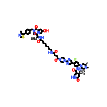 Cc1ncsc1-c1ccc(CNC(=O)[C@@H]2C[C@@H](O)CN2C(=O)[C@@H](NC(=O)CCCCCCCNC(=O)CCC(=O)N2CCN(c3ncc(-c4cc(NC(=O)c5c[nH]c(=O)cc5C(F)(F)F)c(N5C[C@@H](C)N(C)[C@@H](C)C5)cc4F)cn3)CC2)C(C)(C)C)cc1